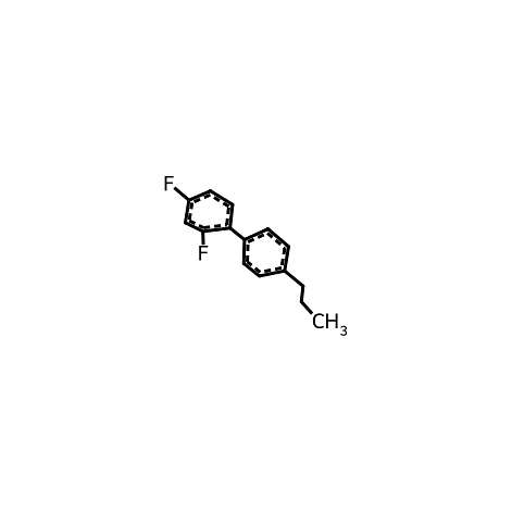 CCCc1ccc(-c2ccc(F)cc2F)cc1